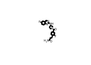 NC(=O)C=Cc1ccc(C(=O)N2CC[C@@H](Nc3ncc4cc(F)ccc4n3)C2)cc1F